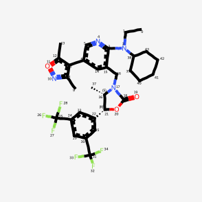 CCN(c1ncc(-c2c(C)noc2C)cc1CN1C(=O)O[C@H](c2cc(C(F)(F)F)cc(C(F)(F)F)c2)[C@@H]1C)C1CCCCC1